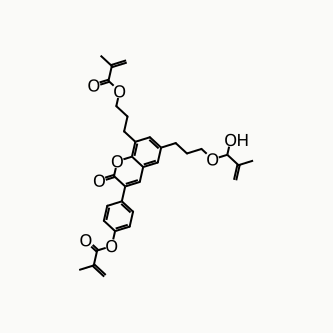 C=C(C)C(=O)OCCCc1cc(CCCOC(O)C(=C)C)cc2cc(-c3ccc(OC(=O)C(=C)C)cc3)c(=O)oc12